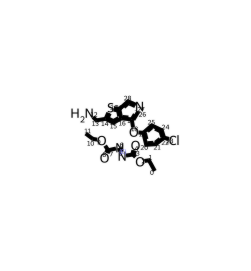 CCOC(=O)/N=N/C(=O)OCC.NCc1cc2c(Oc3ccc(Cl)cc3)cncc2s1